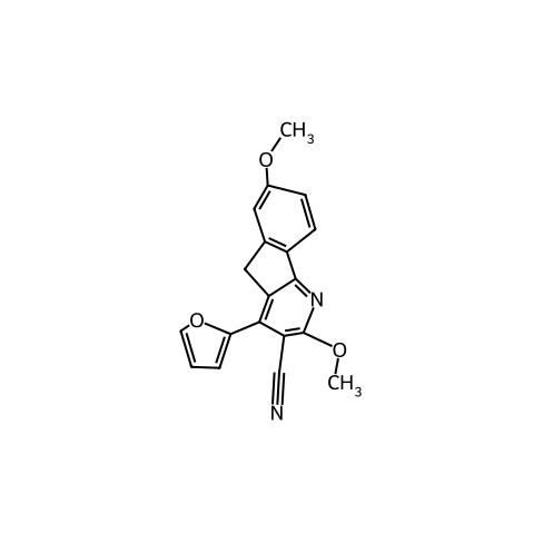 COc1ccc2c(c1)Cc1c-2nc(OC)c(C#N)c1-c1ccco1